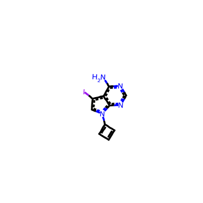 Nc1ncnc2c1c(I)cn2C1=CC=C1